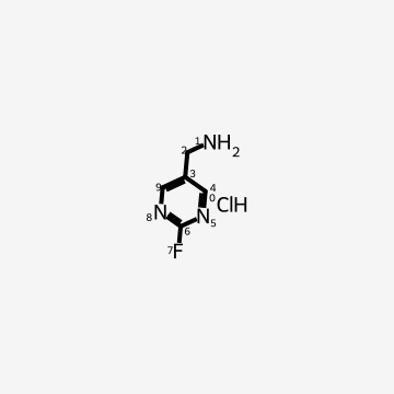 Cl.NCc1cnc(F)nc1